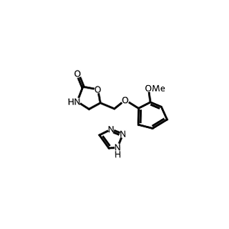 COc1ccccc1OCC1CNC(=O)O1.c1c[nH]nn1